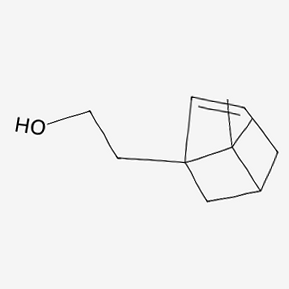 CC1(C)C2CC=CC1(CCO)C2